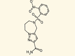 NC(=O)c1cc2n(n1)CCCN(S(=O)(=O)c1ccccc1[N+](=O)[O-])C2